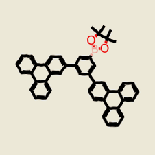 CC1(C)OB(c2cc(-c3ccc4c5ccccc5c5ccccc5c4c3)cc(-c3ccc4c5ccccc5c5ccccc5c4c3)c2)OC1(C)C